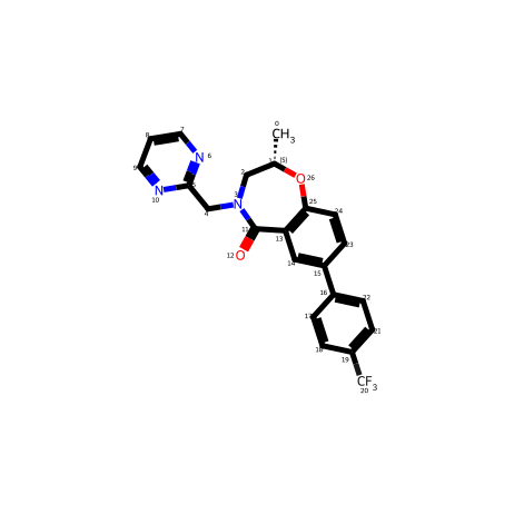 C[C@H]1CN(Cc2ncccn2)C(=O)c2cc(-c3ccc(C(F)(F)F)cc3)ccc2O1